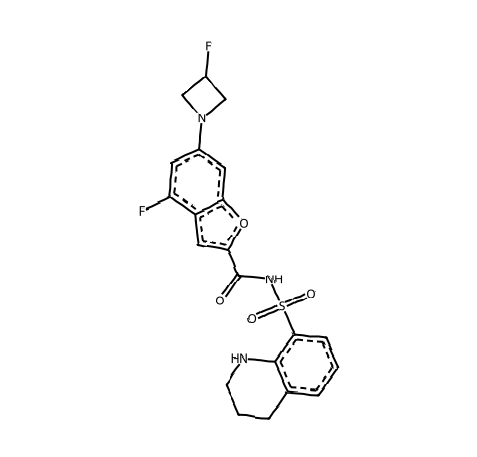 O=C(NS(=O)(=O)c1cccc2c1NCCC2)c1cc2c(F)cc(N3CC(F)C3)cc2o1